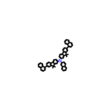 CC1(C)c2cc(-c3cccc4ccccc34)ccc2-c2ccc(N(c3ccc4c(c3)C(C)(C)c3cc(-c5cccc6ccccc56)ccc3-4)c3ccc4ccccc4c3)cc21